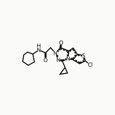 O=C(Cn1nc(C2CC2)n2c(cc3sc(Cl)cc32)c1=O)NC1CCCCC1